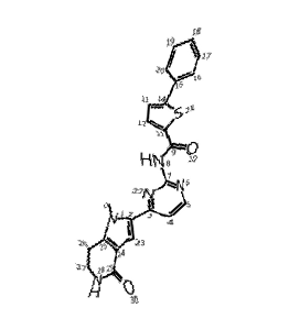 Cn1c(-c2ccnc(NC(=O)c3ccc(-c4ccccc4)s3)n2)cc2c1CCNC2=O